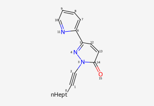 CCCCCCCC#Cn1nc(-c2ccccn2)ccc1=O